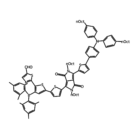 CCCCCCCCc1ccc(N(c2ccc(CCCCCCCC)cc2)c2ccc(-c3ccc(C4=C5C(=O)N(CCCCCCCC)C(c6ccc(-c7cc(B(c8c(C)cc(C)cc8C)c8c(C)cc(C)cc8C)c(-c8ncc(C=O)s8)s7)s6)=C5C(=O)N4CCCCCCCC)s3)cc2)cc1